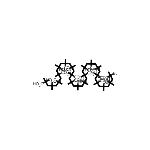 CCC(C)(CC(C)(CC(C)(CC(C)(CC(C)(CC(C)(CC(C)(CC(C)(CC(C)(CC(C)(CC(C)(CC(C)(CC(C)(CC(C)(CC(C)(CC(C)(CC(C)(CC(C)(CC(C)(CC(C)(C)C(=O)O)C(=O)O)C(=O)O)C(=O)O)C(=O)O)C(=O)O)C(=O)O)C(=O)O)C(=O)O)C(=O)O)C(=O)O)C(=O)O)C(=O)O)C(=O)O)C(=O)O)C(=O)O)C(=O)O)C(=O)O)C(=O)O)C(=O)O